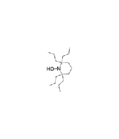 CCCC1(CCC)CCCC(CCC)(CCC)N1O